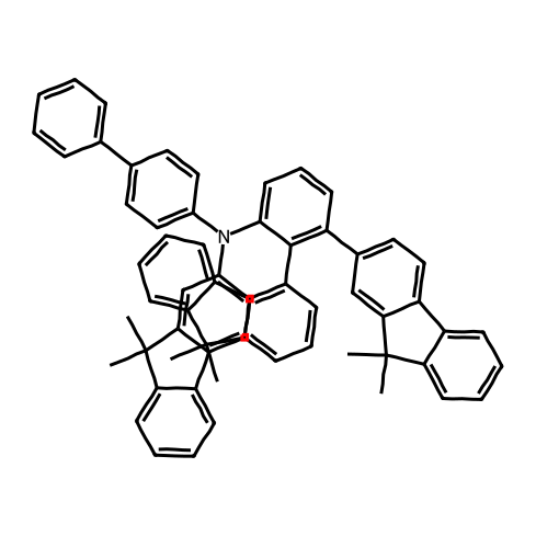 CC1(C)c2ccccc2-c2ccc(-c3cccc(N(c4ccc(-c5ccccc5)cc4)c4ccc5c(c4)C(C)(C)c4ccccc4-5)c3-c3cccc4c3-c3ccccc3C4(C)C)cc21